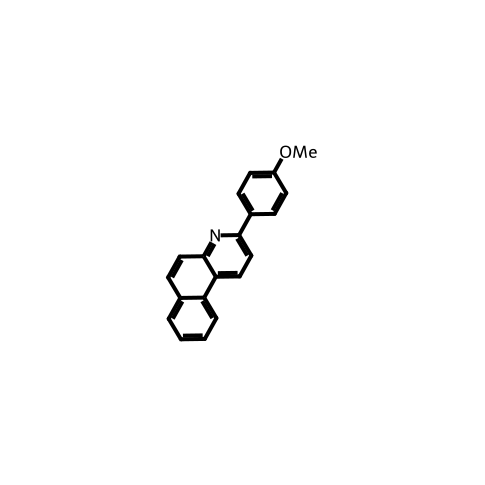 COc1ccc(-c2ccc3c(ccc4ccccc43)n2)cc1